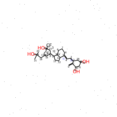 C=C1/C(=C\C=C2/CCC[C@@]3(C)C2CCC3C(CCCC(C)(C)O)CC(O)(C(F)(F)F)C(F)(F)F)C[C@@H](O)C[C@@H]1O